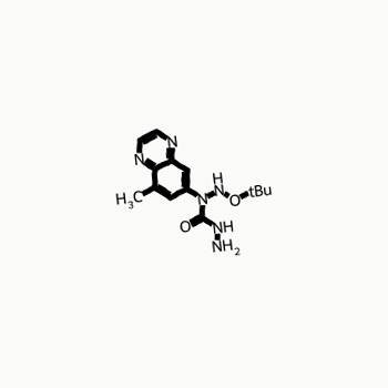 Cc1cc(N(NOC(C)(C)C)C(=O)NN)cc2nccnc12